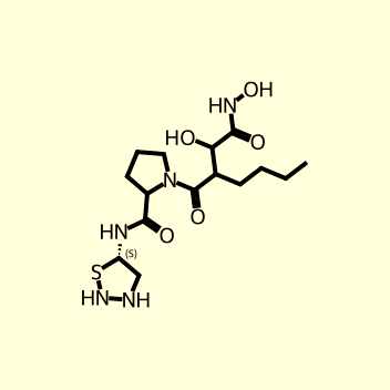 CCCCC(C(=O)N1CCCC1C(=O)N[C@@H]1CNNS1)C(O)C(=O)NO